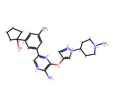 Cc1cc(-c2cnc(N)c(Oc3cnn(C4CCN(C)CC4)c3)n2)cc(C2(O)CCCC2)c1